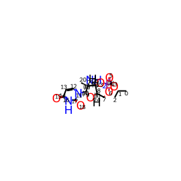 CC(C)O[P@@]1(=O)OC[C@H]2O[C@@H](n3ccc(=O)[nH]c3=O)[C@](C)(N)[C@H]2O1